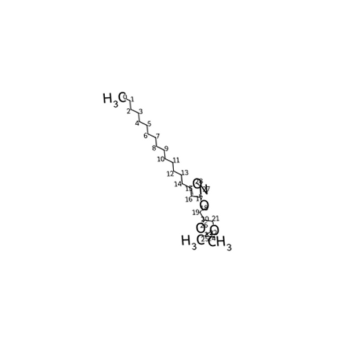 CCCCCCCCCCCCCCCc1cc(OCC2COC(C)(C)O2)no1